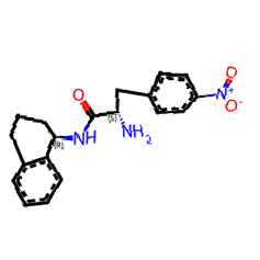 N[C@@H](Cc1ccc([N+](=O)[O-])cc1)C(=O)N[C@@H]1CCCc2ccccc21